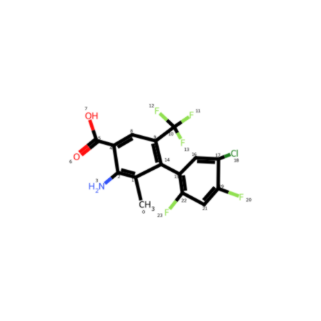 Cc1c(N)c(C(=O)O)cc(C(F)(F)F)c1-c1cc(Cl)c(F)cc1F